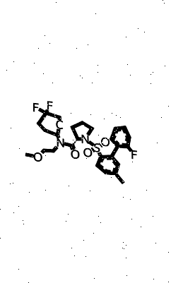 COCCN(C(=O)[C@@H]1CCCN1S(=O)(=O)c1ccc(C)cc1-c1ccccc1F)C1CCC(F)(F)CC1